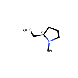 CCCN1CCC[C@@H]1CC=O